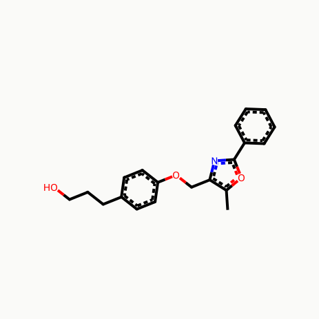 Cc1oc(-c2ccccc2)nc1COc1ccc(CCCO)cc1